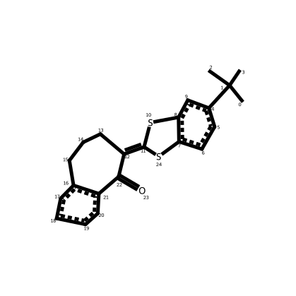 CC(C)(C)c1ccc2c(c1)S/C(=C1\CCCc3ccccc3C1=O)S2